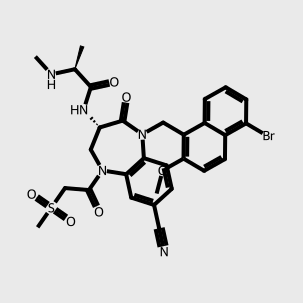 CN[C@@H](C)C(=O)N[C@H]1CN(C(=O)CS(C)(=O)=O)c2cc(C#N)ccc2N(Cc2c(OC)ccc3c(Br)cccc23)C1=O